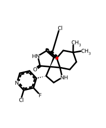 CC1(C)CCC2(CC1)NC[C@H](c1ccnc(Cl)c1F)[C@]21C(=O)Nc2cc(Cl)ccc21